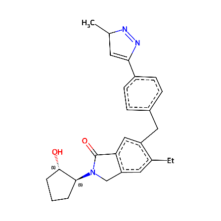 CCc1cc2c(cc1Cc1ccc(C3=CC(C)N=N3)cc1)C(=O)N([C@H]1CCC[C@@H]1O)C2